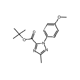 COc1ccc(-n2nc(C)nc2C(=O)OC(C)(C)C)cc1